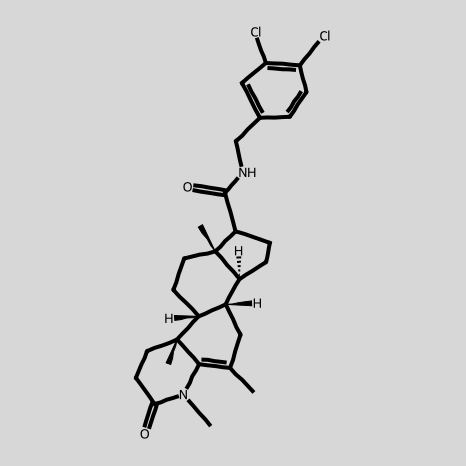 CC1=C2N(C)C(=O)CC[C@]2(C)[C@@H]2CC[C@]3(C)C(C(=O)NCc4ccc(Cl)c(Cl)c4)CC[C@H]3[C@@H]2C1